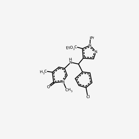 CCOC(=O)c1c(C(Nc2cc(C)c(=O)n(C)c2)c2ccc(Cl)cc2)cnn1C(C)C